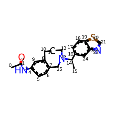 CC(=O)Nc1ccc2c(c1)CCCN([C@H](C)c1ccc3scnc3c1)C2